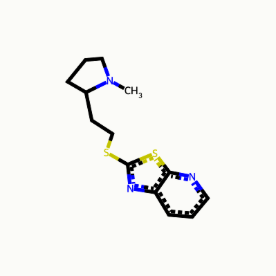 CN1CCCC1CCSc1nc2cccnc2s1